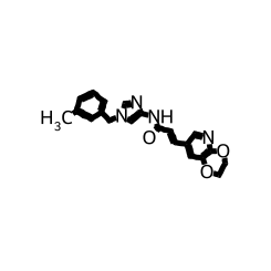 Cc1cccc(Cn2cnc(NC(=O)/C=C/c3cnc4c(c3)OCCO4)c2)c1